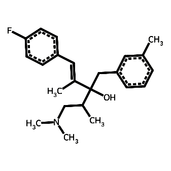 C/C(=C\c1ccc(F)cc1)C(O)(Cc1cccc(C)c1)C(C)CN(C)C